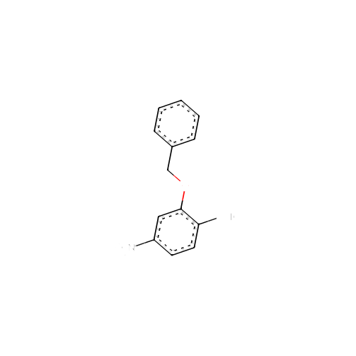 O=Cc1ccc([N+](=O)[O-])cc1OCc1ccccc1